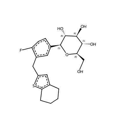 OC[C@H]1O[C@@H](c2ccc(F)c(Cc3cc4c(s3)CCCC4)c2)[C@H](O)[C@@H](O)[C@@H]1O